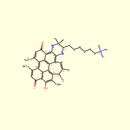 COc1c(O)c2c(=O)cc(OC)c3c4c(OC)cc(=O)c5c6c(c7c(c(c1C(C(C)=O)C(C)=C7)c23)c54)NC(CCCCCC[N+](C)(C)C)C(C)(C)N6